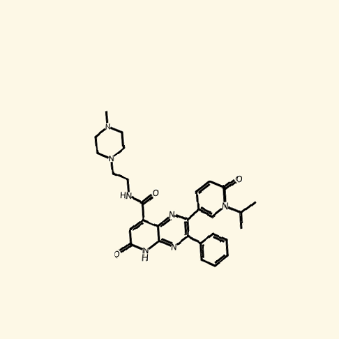 CC(C)n1cc(-c2nc3c(C(=O)NCCN4CCN(C)CC4)cc(=O)[nH]c3nc2-c2ccccc2)ccc1=O